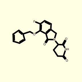 O=C1CCC(N2Cc3ccc(F)c(OCc4ccccc4)c3C2=O)C(=O)N1